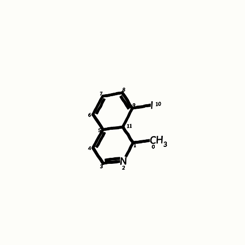 CC1N=CC=C2C=CC=C(I)C21